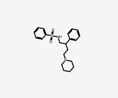 O=S(=O)(NCC(CCN1CCCCC1)c1ccccc1)c1ccccc1